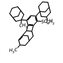 CC1C=C2CC(C1)CC1c3c(c(C4(C)CC5CCCC(C5)C4)cc(C45CCCC(CC(C)C4)C5)c3S(=O)(=O)O)C21